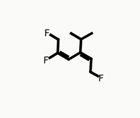 CC(C)C(=C/CF)/C=C(/F)CF